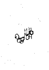 COC(=O)CC(C=O)NC(=O)C1C[C@@H]2CC[C@H]1C2